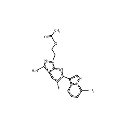 CC(=O)OCCn1nc(N)c2cc(F)c(-c3cnn4c(C)cccc34)nc21